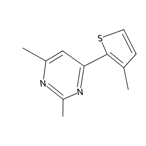 Cc1cc(-c2sccc2C)nc(C)n1